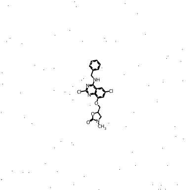 CN1CC(COc2cc(Cl)cc3c(NCc4ccccc4)nc(Cl)nc23)OC1=O